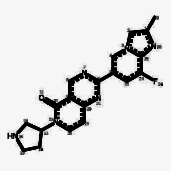 Cc1cn2cc(-c3ncc4c(=O)n(C5CCNC5)ccc4n3)cc(F)c2n1